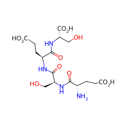 N[C@@H](CCC(=O)O)C(=O)N[C@@H](CO)C(=O)N[C@@H](CCC(=O)O)C(=O)N[C@@H](CO)C(=O)O